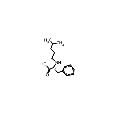 CC(C)CCCN[C@@H](Cc1ccccc1)C(=O)O